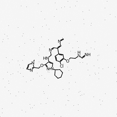 C=N/C=C(\C=N/CNc1cn(C2CCCCC2)nc1OCc1nccn1C)c1ccc(Cl)c(OCCNC=N)c1